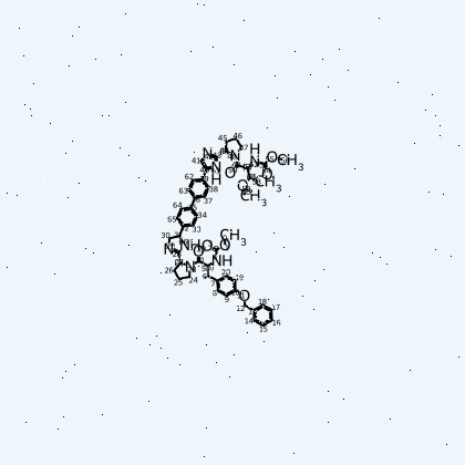 COC(=O)N[C@@H](Cc1ccc(OCc2ccccc2)cc1)C(=O)N1CCC[C@H]1C1=NCC(c2ccc(-c3ccc(-c4cnc([C@@H]5CCCN5C(=O)[C@@H](NC(=O)OC)[C@@H](C)OC)[nH]4)cc3)cc2)N1